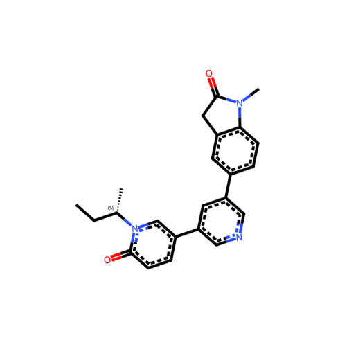 CC[C@H](C)n1cc(-c2cncc(-c3ccc4c(c3)CC(=O)N4C)c2)ccc1=O